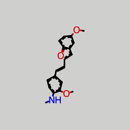 CNc1ccc(/C=C/c2cc3cc(OC)ccc3o2)cc1OC